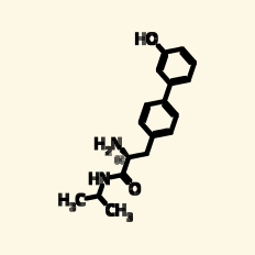 CC(C)NC(=O)[C@@H](N)Cc1ccc(-c2cccc(O)c2)cc1